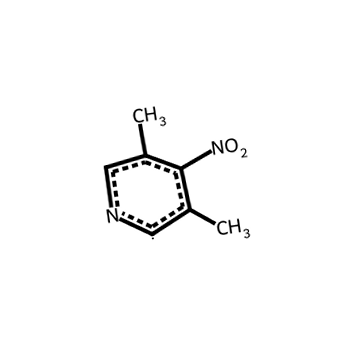 Cc1[c]ncc(C)c1[N+](=O)[O-]